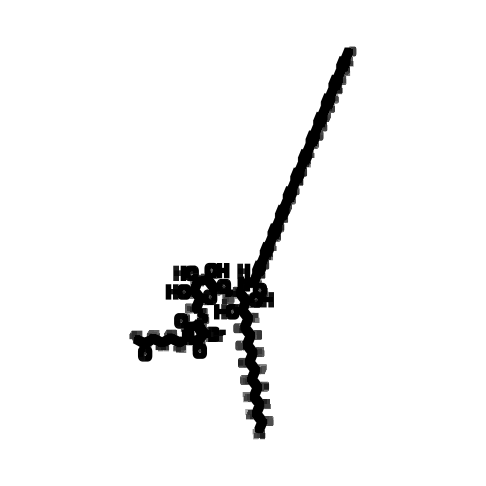 CC#CC#CC#CC#CC#CC#CC#CC#CC#CC#CC#CC#CC(=O)N[C@@H](CO[C@H]1OC(CSC2=C(Br)C(=O)N(CCCCC(C)=O)C2=O)[C@H](O)[C@H](O)C1O)[C@H](O)[C@H](O)CCCCCCCCCCCCCC